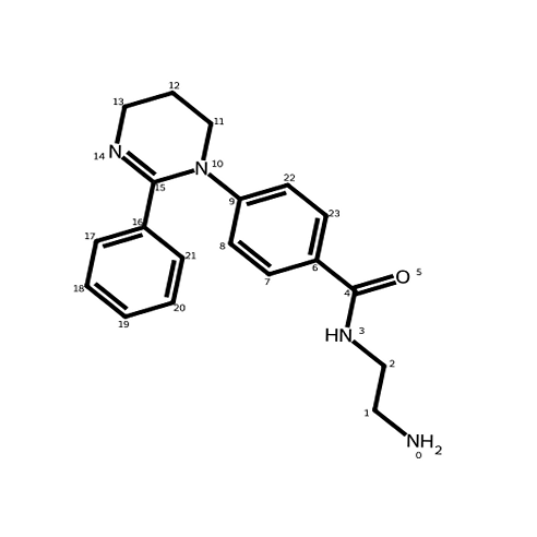 NCCNC(=O)c1ccc(N2CCCN=C2c2ccccc2)cc1